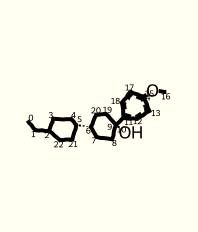 CCC1CCC([C@H]2CC[C@](O)(c3ccc(OC)cc3)CC2)CC1